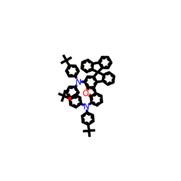 CC(C)(C)c1ccc(N(c2ccc(C(C)(C)C)cc2)c2cccc3c2oc2c(N(c4ccccc4)c4ccc(C(C)(C)C)cc4)cc4c(c23)-c2ccccc2C42c3ccccc3-c3ccccc32)cc1